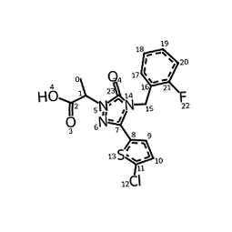 CC(C(=O)O)n1nc(-c2ccc(Cl)s2)n(Cc2ccccc2F)c1=O